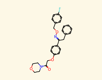 O=C(COc1ccc(C(Cc2ccccc2)=NOCc2ccc(F)cc2)cc1)N1CCOCC1